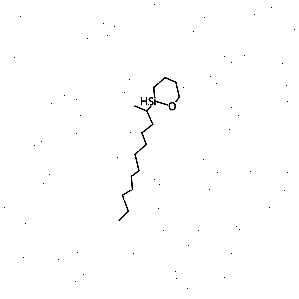 CCCCCCCCCCC(C)[SiH]1CCCCO1